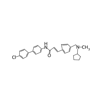 CN(Cc1ccc(/C=C/C(=O)Nc2ccc(-c3ccc(Cl)cc3)cc2)cc1)C1CCCC1